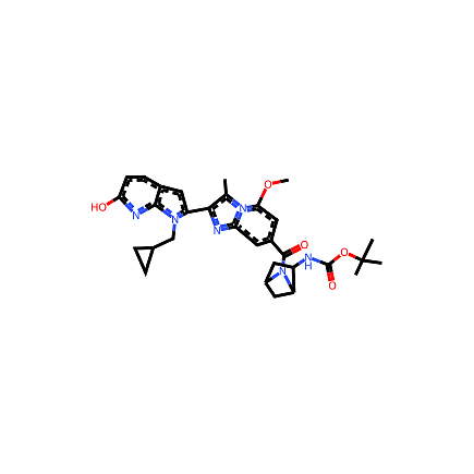 COc1cc(C(=O)N2C3CC(NC(=O)OC(C)(C)C)C2C3)cc2nc(-c3cc4ccc(O)nc4n3CC3CC3)c(C)n12